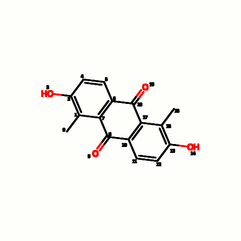 Cc1c(O)ccc2c1C(=O)c1ccc(O)c(C)c1C2=O